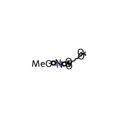 C=C(C)C(=O)OCCCCCCS(=O)(=O)c1ccc(/N=N/c2ccc(OC)cc2)cc1